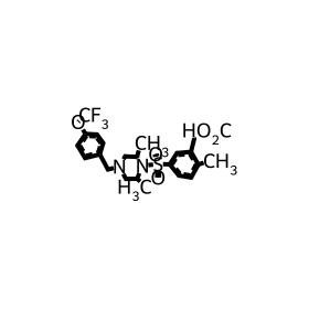 Cc1ccc(S(=O)(=O)N2C(C)CN(Cc3ccc(OC(F)(F)F)cc3)CC2C)cc1CC(=O)O